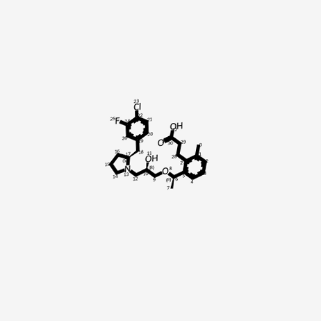 Cc1cccc([C@@H](C)OC[C@H](O)CN2CCC[C@H]2Cc2ccc(Cl)c(F)c2)c1CCC(=O)O